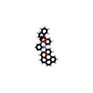 c1ccc(-c2ccccc2N(c2ccc(-c3cccc4ccc5ccc6ccccc6c5c34)cc2)c2cccc3c2sc2ccc4ccccc4c23)cc1